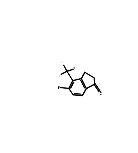 O=C1CCc2c1ccc(F)c2C(F)(F)F